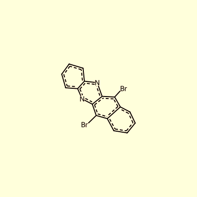 Brc1c2ccccc2c(Br)c2nc3ccccc3nc12